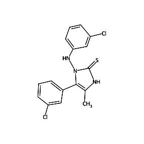 Cc1[nH]c(=S)n(Nc2cccc(Cl)c2)c1-c1cccc(Cl)c1